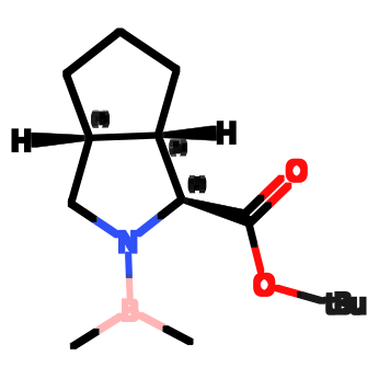 CB(C)N1C[C@@H]2CCC[C@@H]2[C@H]1C(=O)OC(C)(C)C